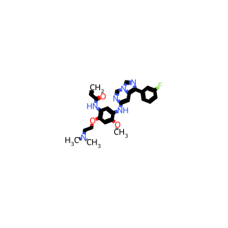 C=CC(=O)Nc1cc(Nc2cc3c(-c4cccc(F)c4)ncn3cn2)c(OC)cc1OCCN(C)C